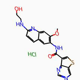 COc1cc2nc(NCCO)ccc2cc1NC(=O)c1csc2cncnc12.Cl